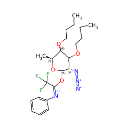 CCCCOC1[C@H](N=[N+]=[N-])[C@H](O/C(=N/c2ccccc2)C(F)(F)F)O[C@@H](C)[C@H]1OCCCC